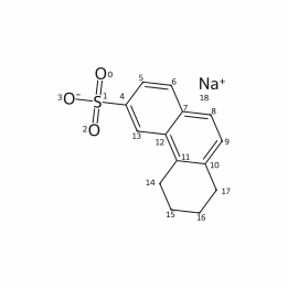 O=S(=O)([O-])c1ccc2ccc3c(c2c1)CCCC3.[Na+]